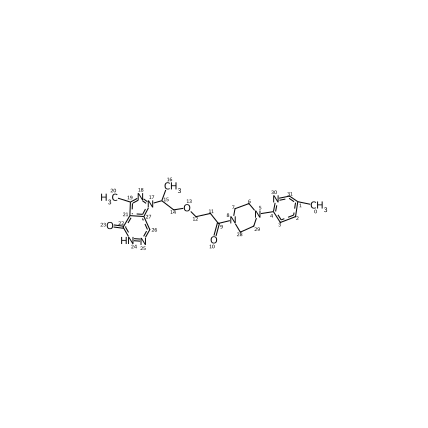 Cc1ccc(N2CCN(C(=O)CCOCC(C)n3nc(C)c4c(=O)[nH]ncc43)CC2)nc1